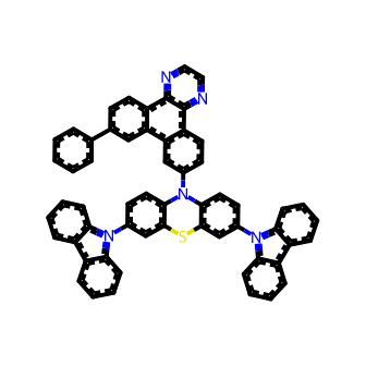 c1ccc(-c2ccc3c(c2)c2cc(N4c5ccc(-n6c7ccccc7c7ccccc76)cc5Sc5cc(-n6c7ccccc7c7ccccc76)ccc54)ccc2c2nccnc32)cc1